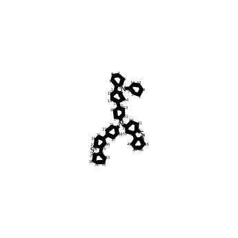 c1ccc(-n2c3ccccc3c3ccc(-c4ccc(N(c5ccc(-c6ccc7sc8ccccc8c7c6)cc5)c5ccc6sc7ccccc7c6c5)cc4)cc32)cc1